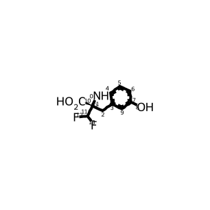 N[C@@](Cc1cccc(O)c1)(C(=O)O)C(F)F